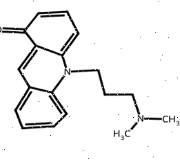 CN(C)CCCn1c2cccc(=O)c-2cc2ccccc21